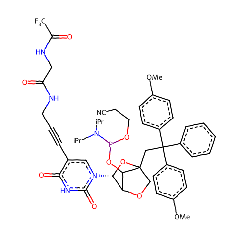 COc1ccc(C(CC23COC(C2OP(OCCC#N)N(C(C)C)C(C)C)[C@H](n2cc(C#CCNC(=O)CNC(=O)C(F)(F)F)c(=O)[nH]c2=O)O3)(c2ccccc2)c2ccc(OC)cc2)cc1